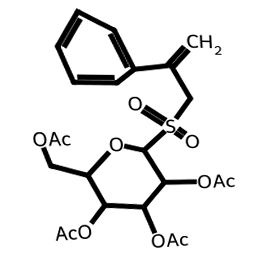 C=C(CS(=O)(=O)C1OC(COC(C)=O)C(OC(C)=O)C(OC(C)=O)C1OC(C)=O)c1ccccc1